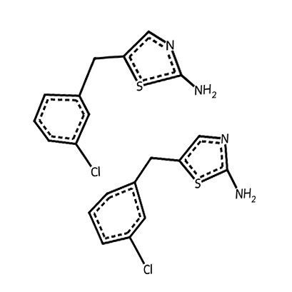 Nc1ncc(Cc2cccc(Cl)c2)s1.Nc1ncc(Cc2cccc(Cl)c2)s1